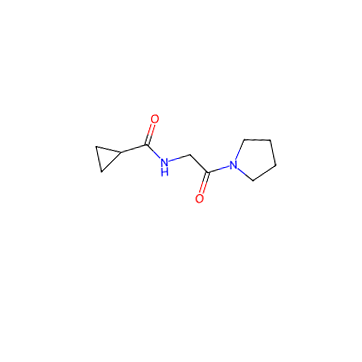 O=C(NCC(=O)N1CCCC1)C1CC1